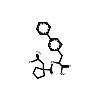 C=C(Cl)CC1(C(=O)NC(Cc2ccc(-c3ccccc3)cc2)C(=O)NC)CCCC1